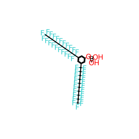 OB(O)Oc1cc(C(F)(F)C(F)(F)C(F)(F)C(F)(F)C(F)(F)C(F)(F)C(F)(F)C(F)(F)C(F)(F)C(F)(F)F)cc(C(F)(F)C(F)(F)C(F)(F)C(F)(F)C(F)(F)C(F)(F)C(F)(F)C(F)(F)C(F)(F)C(F)(F)F)c1